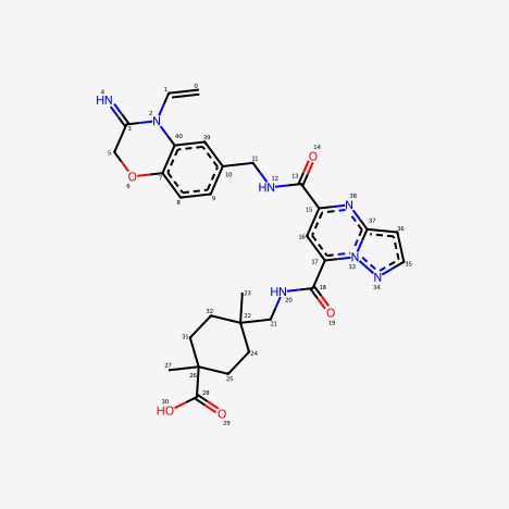 C=CN1C(=N)COc2ccc(CNC(=O)c3cc(C(=O)NCC4(C)CCC(C)(C(=O)O)CC4)n4nccc4n3)cc21